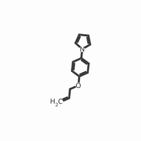 C=CCOc1ccc(-n2cccc2)cc1